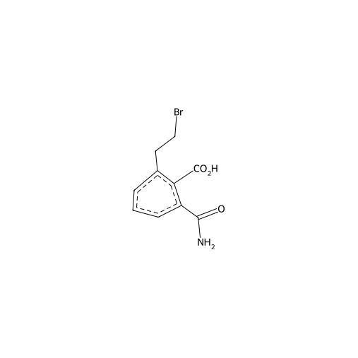 NC(=O)c1cccc(CCBr)c1C(=O)O